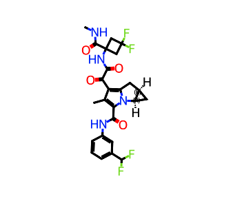 CNC(=O)C1(NC(=O)C(=O)c2c(C)c(C(=O)Nc3cccc(C(F)F)c3)n3c2C[C@H]2C[C@H]23)CC(F)(F)C1